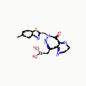 Cc1ccc2sc(Cn3nc(CB(O)O)c4nccnc4c3=O)nc2c1